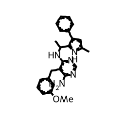 COc1cccc(Cc2c(N)ncnc2NC(C)c2[nH]c(C)cc2-c2ccccc2)c1